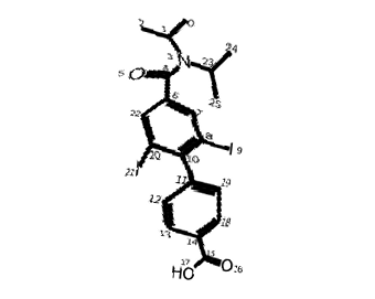 CC(C)N(C(=O)c1cc(I)c(-c2ccc(C(=O)O)cc2)c(I)c1)C(C)C